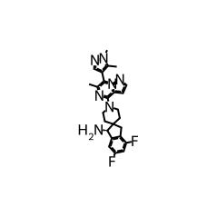 Cc1nc(N2CCC3(CC2)Cc2c(F)cc(F)cc2[C@H]3N)c2ccnn2c1-c1cnn(C)c1C